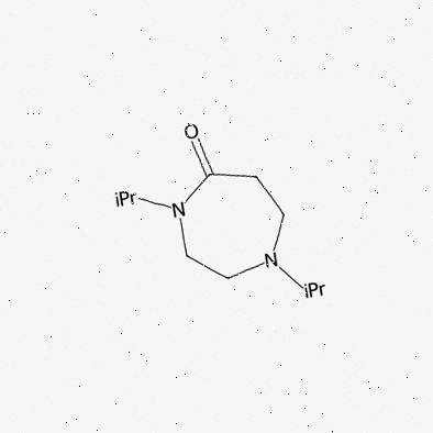 CC(C)N1CCC(=O)N(C(C)C)CC1